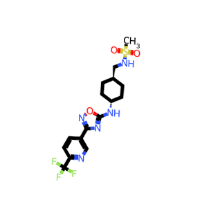 CS(=O)(=O)NC[C@H]1CC[C@H](Nc2nc(-c3ccc(C(F)(F)F)nc3)no2)CC1